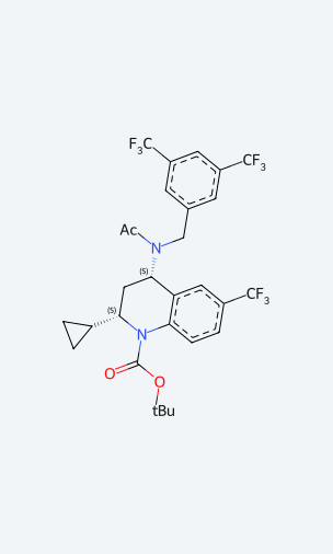 CC(=O)N(Cc1cc(C(F)(F)F)cc(C(F)(F)F)c1)[C@H]1C[C@@H](C2CC2)N(C(=O)OC(C)(C)C)c2ccc(C(F)(F)F)cc21